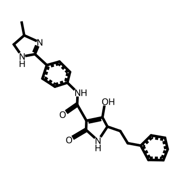 CC1CNC(c2ccc(NC(=O)C3=C(O)C(CCc4ccccc4)NC3=O)cc2)=N1